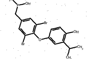 CC(C)c1cc(Oc2c(Br)cc(CP(C)O)cc2Br)ccc1O